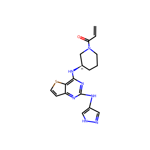 C=CC(=O)N1CCC[C@@H](Nc2nc(Nc3cn[nH]c3)nc3ccsc23)C1